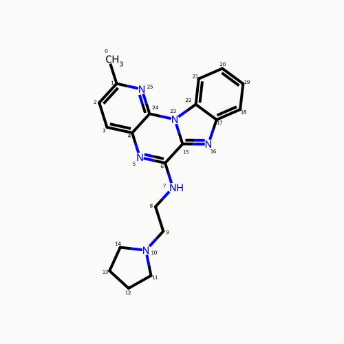 Cc1ccc2nc(NCCN3CCCC3)c3nc4ccccc4n3c2n1